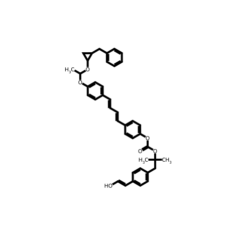 CC(Oc1ccc(C=CC=Cc2ccc(OC(=O)OC(C)(C)Cc3ccc(C=CO)cc3)cc2)cc1)OC1CC1Cc1ccccc1